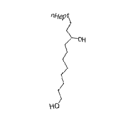 CCCCCCCCCC(O)CCCCCCCCO